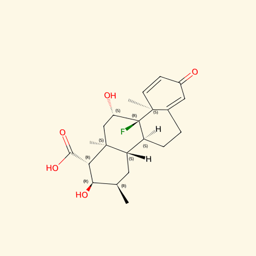 C[C@@H]1C[C@H]2[C@@H]3CCC4=CC(=O)C=C[C@]4(C)[C@@]3(F)[C@@H](O)C[C@]2(C)[C@@H](C(=O)O)[C@@H]1O